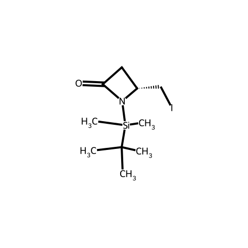 CC(C)(C)[Si](C)(C)N1C(=O)C[C@@H]1CI